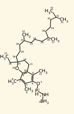 BNPOc1c(C)c(C)c2c(c1C)CCC(CC)(CCCC(C)CCCC(C)CCCC(C)C)O2